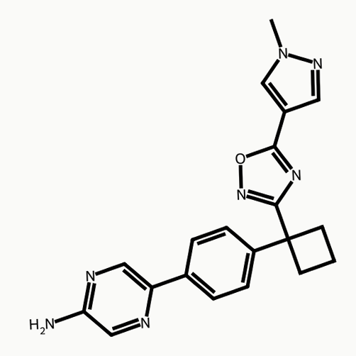 Cn1cc(-c2nc(C3(c4ccc(-c5cnc(N)cn5)cc4)CCC3)no2)cn1